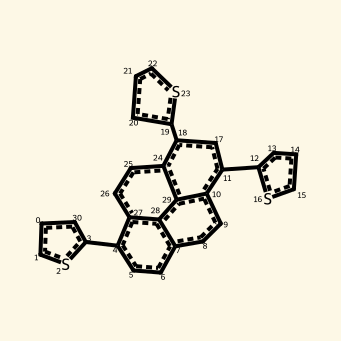 c1csc(-c2ccc3ccc4c(-c5cccs5)cc(-c5cccs5)c5ccc2c3c45)c1